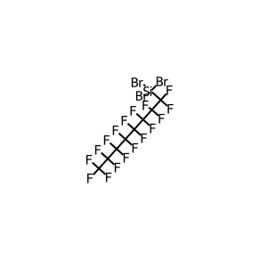 FC(F)(F)C(F)(F)C(F)(F)C(F)(F)C(F)(F)C(F)(F)C(F)(F)C(F)(F)[Si](Br)(Br)Br